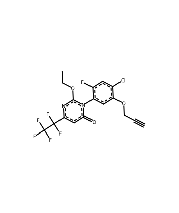 C#CCOc1cc(-n2c(OCC)nc(C(F)(F)C(F)(F)F)cc2=O)c(F)cc1Cl